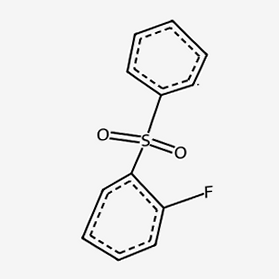 O=S(=O)(c1[c]cccc1)c1ccccc1F